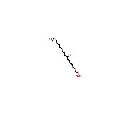 CCCCCCCCCC(=O)CCCCCCCCO